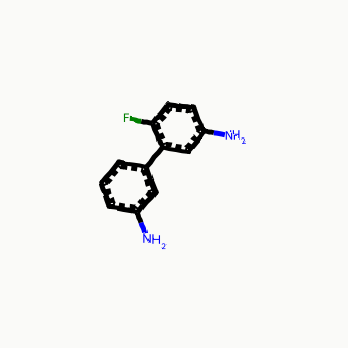 Nc1cccc(-c2cc(N)ccc2F)c1